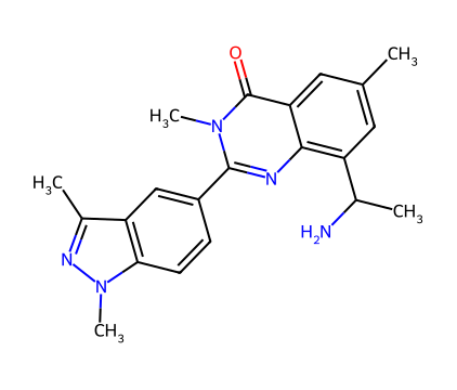 Cc1cc(C(C)N)c2nc(-c3ccc4c(c3)c(C)nn4C)n(C)c(=O)c2c1